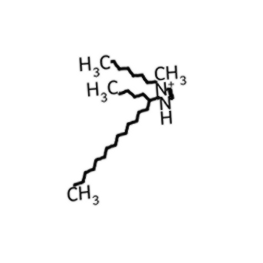 CCCCCCCCCCCCCCCC(CCCCC)c1[nH]cc[n+]1C(C)CCCCCCC